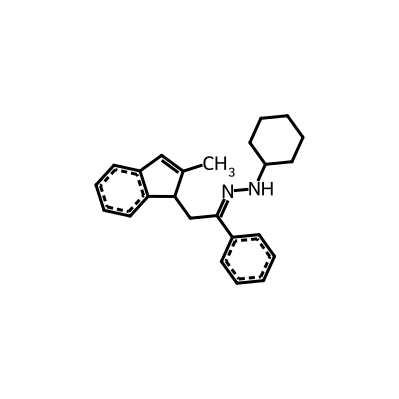 CC1=Cc2ccccc2C1CC(=NNC1CCCCC1)c1ccccc1